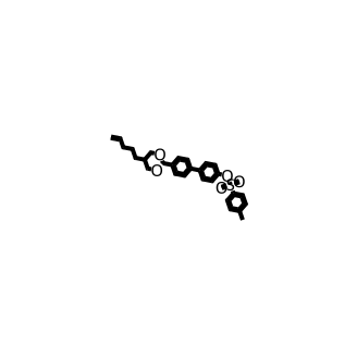 C=CCCCC1COC(c2ccc(-c3ccc(OS(=O)(=O)c4ccc(C)cc4)cc3)cc2)OC1